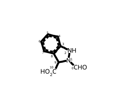 O=CN1Nc2ccccc2C1C(=O)O